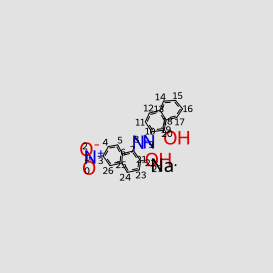 O=[N+]([O-])c1ccc2c(N=Nc3ccc4ccccc4c3O)c(O)ccc2c1.[Na]